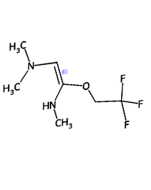 CN/C(=C\N(C)C)OCC(F)(F)F